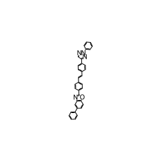 C(=Cc1ccc(-c2nc3cc(-c4ccccc4)ccc3o2)cc1)c1ccc(-c2cnn(-c3ccccc3)n2)cc1